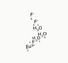 O.O.O.[Eu+3].[F-].[F-].[F-]